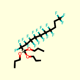 CCCO[Si](OCCC)(OCCC)C(F)(F)C(F)(F)C(F)(F)C(F)(F)C(F)(F)C(F)(F)C(F)(F)CCC(F)(F)F